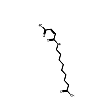 O=C(O)/C=C\C(=O)NCCCCCCCCC(=O)O